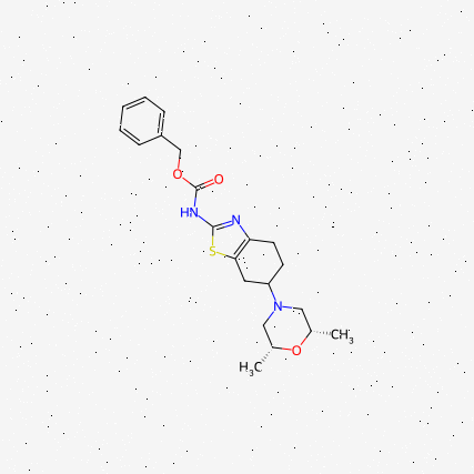 C[C@@H]1CN(C2CCc3nc(NC(=O)OCc4ccccc4)sc3C2)C[C@H](C)O1